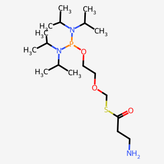 CC(C)N(C(C)C)P(OCCOCSC(=O)CCN)N(C(C)C)C(C)C